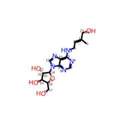 C/C(=C\CNc1ncnc2c1ncn2C1OC(CO)C(O)[C@@H]1O)CO